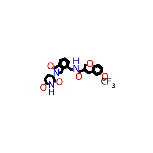 O=C1CCC(N2Cc3c(CNC(=O)C4=Cc5cc(OC(F)(F)F)ccc5OC4)cccc3C2=O)C(=O)N1